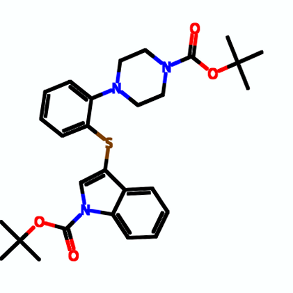 CC(C)(C)OC(=O)N1CCN(c2ccccc2Sc2cn(C(=O)OC(C)(C)C)c3ccccc23)CC1